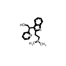 CN(C)CCc1sc2ccccc2c1C(CO)c1ccccn1